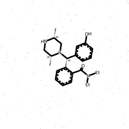 CCN(CC)C(=O)c1ccccc1[C@@H](c1cccc(O)c1)N1C[C@@H](C)NC[C@H]1C